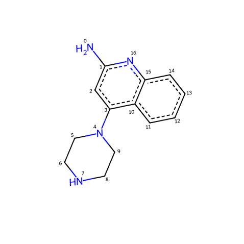 Nc1cc(N2CCNCC2)c2ccccc2n1